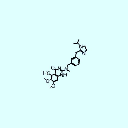 COc1cc2[nH]c(N(C)Cc3cccc(CC4=NCCN4C(C)C)c3)nc(=O)c2c(O)c1OC